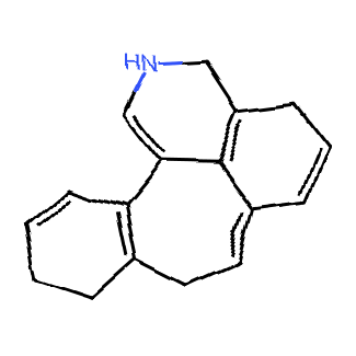 C1=CC2=C(CC=C3C=CCC4=C3C2=CNC4)CC1